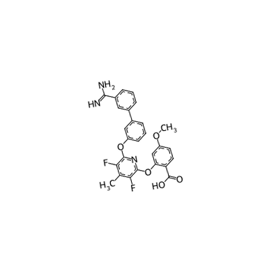 COc1ccc(C(=O)O)c(Oc2nc(Oc3cccc(-c4cccc(C(=N)N)c4)c3)c(F)c(C)c2F)c1